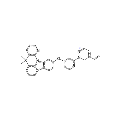 C=CNCN(/N=C\C)c1cccc(Oc2ccc3c4cccc5c4n(c3c2)-c2ncccc2C5(C)C)c1